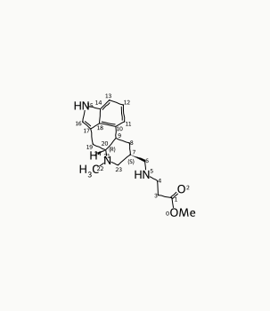 COC(=O)CCNC[C@@H]1CC2c3cccc4[nH]cc(c34)C[C@H]2N(C)C1